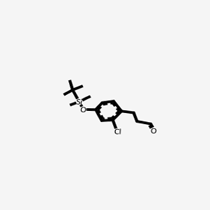 CC(C)(C)[Si](C)(C)Oc1ccc(CCC=O)c(Cl)c1